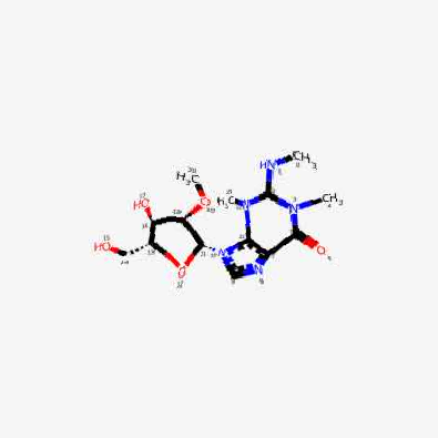 CNC1N(C)C(=O)c2ncn([C@@H]3O[C@H](CO)[C@@H](O)[C@H]3OC)c2N1C